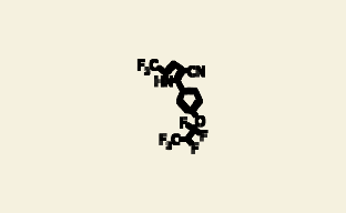 N#Cc1cc(C(F)(F)F)[nH]c1-c1ccc(OC(F)(F)C(F)C(F)(F)F)cc1